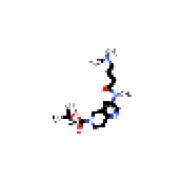 CN(C)C/C=C/C(=O)N(C)c1cnc2c(c1)CN(C(=O)OC(C)(C)C)CC2